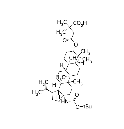 C=C(C)[C@@H]1CC[C@]2(NC(=O)OC(C)(C)C)CC[C@]3(C)[C@H](CC[C@@H]4[C@@]5(C)CC[C@H](OC(=O)CC(C)(C)C(=O)O)C(C)(C)[C@@H]5CC[C@]43C)[C@@H]12